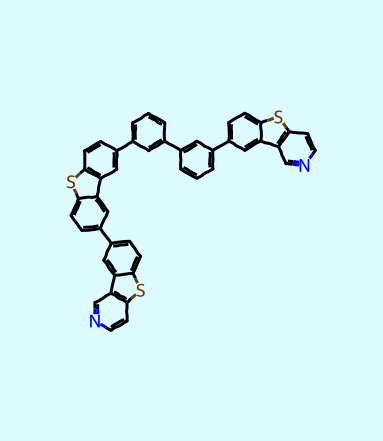 c1cc(-c2cccc(-c3ccc4sc5ccc(-c6ccc7sc8ccncc8c7c6)cc5c4c3)c2)cc(-c2ccc3sc4ccncc4c3c2)c1